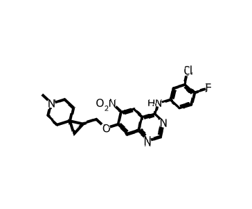 CN1CCC2(CC1)CC2COc1cc2ncnc(Nc3ccc(F)c(Cl)c3)c2cc1[N+](=O)[O-]